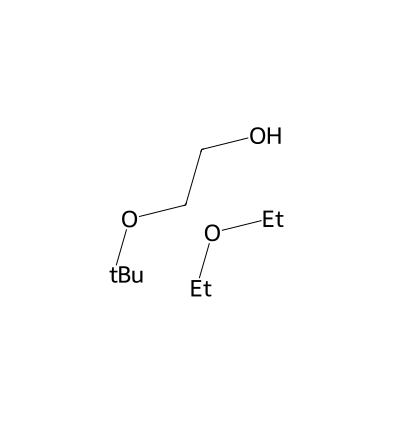 CC(C)(C)OCCO.CCOCC